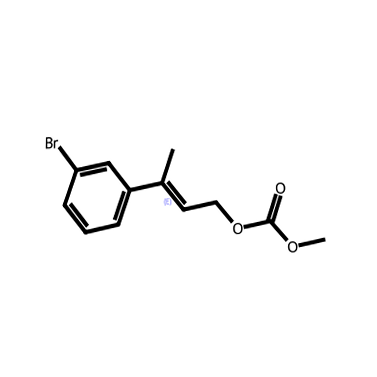 COC(=O)OC/C=C(\C)c1cccc(Br)c1